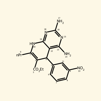 CCCC1=C(C(=O)OCC)C(c2cccc([N+](=O)[O-])c2)c2c(N)nc(N)nc2N1